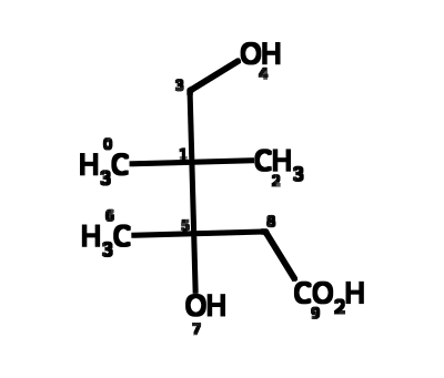 CC(C)(CO)C(C)(O)CC(=O)O